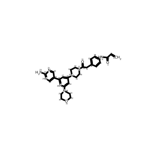 C=CC(=O)Nc1ccc(CC(=O)N2CCN(c3cc(-c4cnc(N)nc4)nc(N4CCOCC4)c3)CC2)cc1